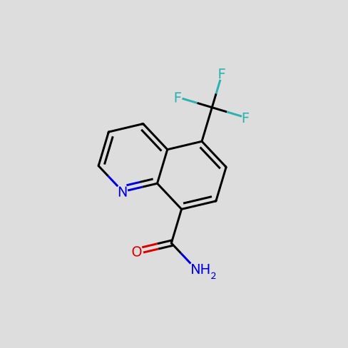 NC(=O)c1ccc(C(F)(F)F)c2cccnc12